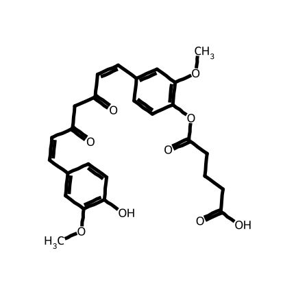 COc1cc(/C=C\C(=O)CC(=O)/C=C\c2ccc(OC(=O)CCCC(=O)O)c(OC)c2)ccc1O